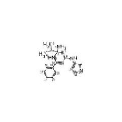 CC(C)C1(N)N=C(Nc2cnoc2)N=C(c2ccccc2)N1